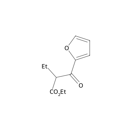 CCOC(=O)C(CC)C(=O)c1ccco1